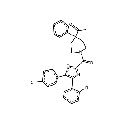 CC(=O)C1(c2ccccc2)CCN(C(=O)c2nc(-c3ccccc3Cl)c(-c3ccc(Cl)cc3)o2)CC1